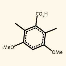 COc1cc(OC)c(C)c(C(=O)O)c1C